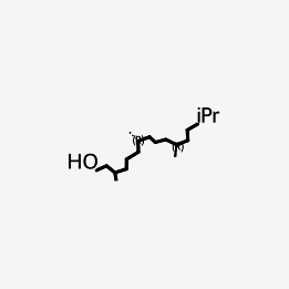 CC(C)CCC[C@@H](C)CCC[C@@H](C)CCCC(C)CCO